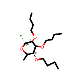 CCCCOC1[C@H](OCCCC)C(C)O[C@H](F)[C@H]1OCCCC